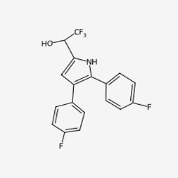 OC(c1cc(-c2ccc(F)cc2)c(-c2ccc(F)cc2)[nH]1)C(F)(F)F